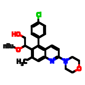 CCCCOC(CO)c1c(C)cc2nc(N3CCOCC3)ccc2c1-c1ccc(Cl)cc1